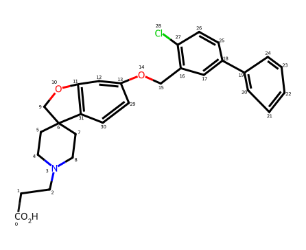 O=C(O)CCN1CCC2(CC1)COc1cc(OCc3cc(-c4ccccc4)ccc3Cl)ccc12